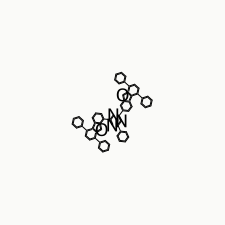 c1ccc(-c2nc(-c3ccc4c(c3)oc3c(-c5ccccc5)ccc(-c5ccccc5)c34)nc(-c3cccc4c3oc3c(-c5ccccc5)ccc(-c5ccccc5)c34)n2)cc1